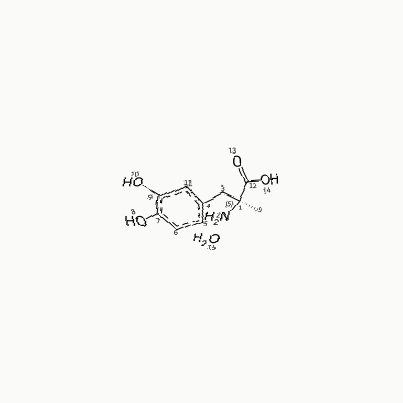 C[C@](N)(Cc1ccc(O)c(O)c1)C(=O)O.O